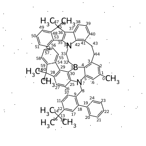 Cc1cc2c3c(c1)N(Cc1ccc(C(C)(C)C)cc1-c1ccccc1)c1ccc4c(c1B3CCn1c3c(c5cccc(c51)CC2)C(C)(C)c1ccccc1-3)-c1ccccc1C4(C)C